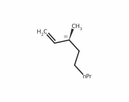 C=C[C@@H](C)CCCCC